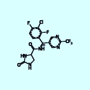 O=C1NCC(C(=O)N[C@H](c2cnc(C(F)(F)F)nc2)c2ccc(F)c(Cl)c2F)N1